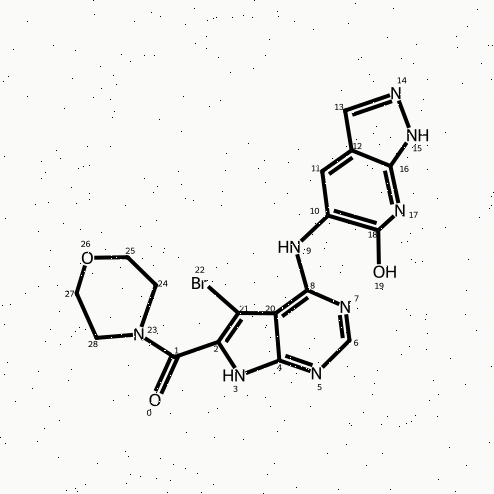 O=C(c1[nH]c2ncnc(Nc3cc4cn[nH]c4nc3O)c2c1Br)N1CCOCC1